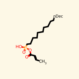 CC=CC(=O)OP(=O)(O)CCCCCCCCCCCCCCCCCCCC